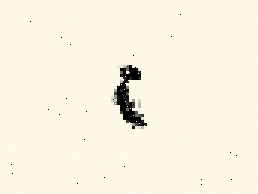 Cc1cc(COc2ccc(S(=O)(=O)CC(O)C=C3CCN(C(=O)O)CC3)cc2)c2ccccc2n1